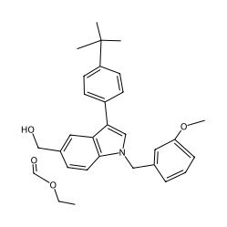 CCOC=O.COc1cccc(Cn2cc(-c3ccc(C(C)(C)C)cc3)c3cc(CO)ccc32)c1